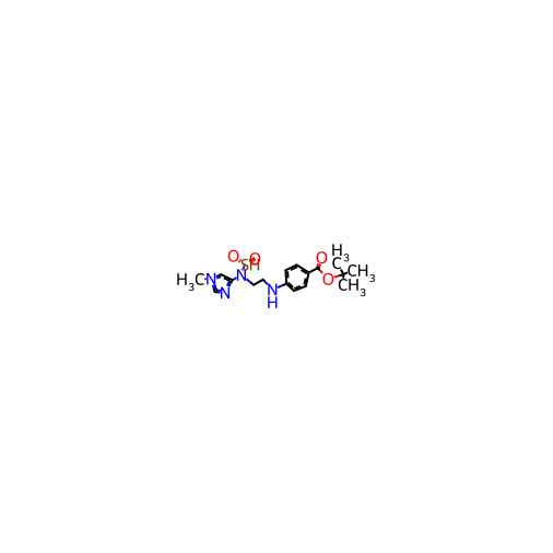 Cn1cnc(N(CCNc2ccc(C(=O)OC(C)(C)C)cc2)[SH](=O)=O)c1